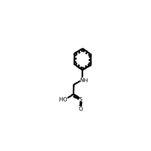 O=S=C(O)CNc1ccccc1